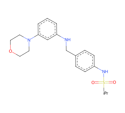 CC(C)S(=O)(=O)Nc1ccc(CNc2cccc(N3CCOCC3)c2)cc1